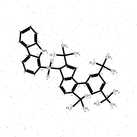 CC(C)(C)C1=Cc2c(ccc(C(C)(C)C)c2-c2cc(C(C)(C)C)cc(C(C)(C)C)c2)[CH]1[Zr]([Cl])([Cl])[c]1cccc2c1[SiH2]c1ccccc1-2